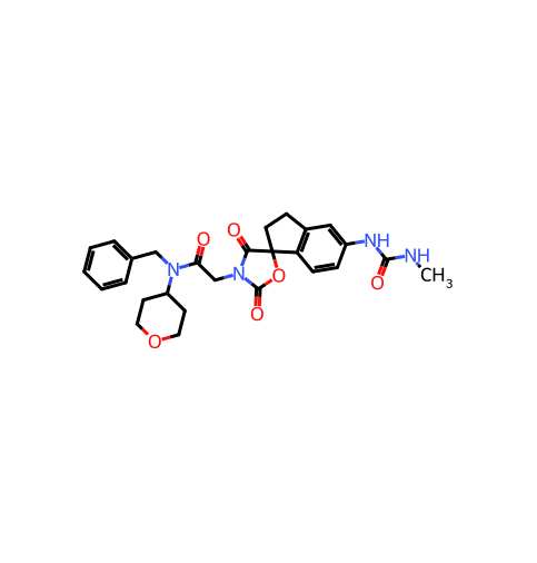 CNC(=O)Nc1ccc2c(c1)CCC21OC(=O)N(CC(=O)N(Cc2ccccc2)C2CCOCC2)C1=O